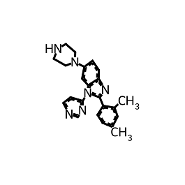 Cc1ccc(-c2nc3ccc(N4CCNCC4)cc3n2-c2ccncn2)c(C)c1